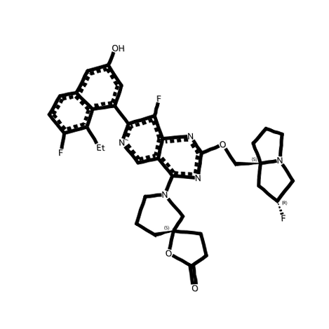 CCc1c(F)ccc2cc(O)cc(-c3ncc4c(N5CCC[C@]6(CCC(=O)O6)C5)nc(OC[C@@]56CCCN5C[C@H](F)C6)nc4c3F)c12